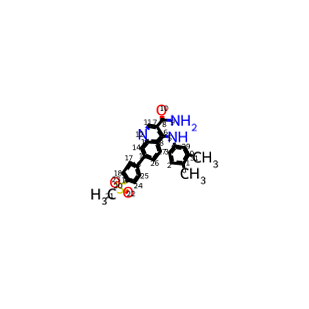 Cc1ccc(Nc2c(C(N)=O)cnc3cc(-c4ccc(S(C)(=O)=O)cc4)ccc23)cc1C